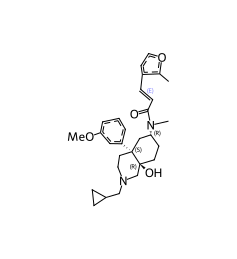 COc1cccc([C@@]23CCN(CC4CC4)C[C@@]2(O)CC[C@@H](N(C)C(=O)/C=C/c2ccoc2C)C3)c1